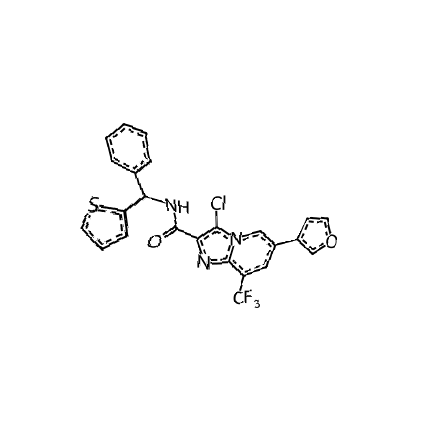 O=C(NC(c1ccccc1)c1cccs1)c1nc2c(C(F)(F)F)cc(-c3ccoc3)cn2c1Cl